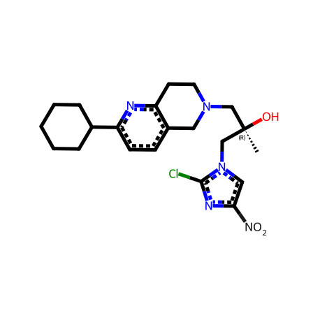 C[C@@](O)(CN1CCc2nc(C3CCCCC3)ccc2C1)Cn1cc([N+](=O)[O-])nc1Cl